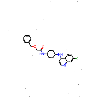 O=C(COCc1ccccc1)NC1CCC(Nc2ccnc3cc(Cl)ccc23)CC1